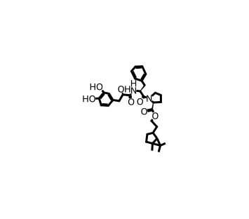 CC1(C)C2C(CCOC(=O)[C@@H]3CCCN3C(=O)[C@H](Cc3ccccc3)NC(=O)[C@H](O)Cc3ccc(O)c(O)c3)CCC21C